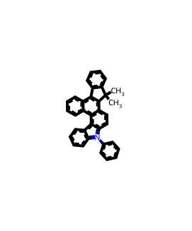 CC1(C)c2ccccc2-c2c1c1ccc3c(c4ccccc4n3-c3ccccc3)c1c1ccccc21